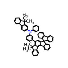 CC1(C)c2ccccc2-c2ccc(N(c3ccccc3)c3cccc(-c4cc5c(c6c4C(C)(C)c4ccccc4-6)-c4ccccc4C54C5=C(C=CCC5)c5ccccc54)c3)cc21